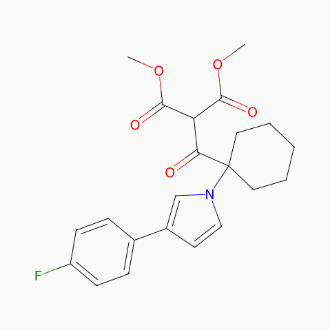 COC(=O)C(C(=O)OC)C(=O)C1(n2ccc(-c3ccc(F)cc3)c2)CCCCC1